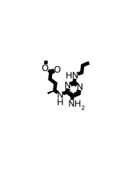 CCCNc1ncc(N)c(N[C@@H](C)CCC(=O)OC)n1